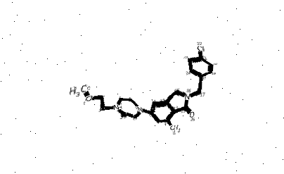 COCCN1CCN(c2cc(C)c3c(c2)CN(Cc2ccc(Cl)cc2)C3=O)CC1